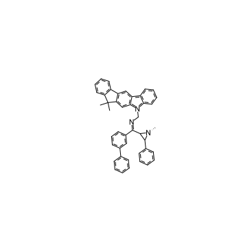 C[N@@]1C(/C(=N\Cn2c3ccccc3c3cc4c(cc32)C(C)(C)c2ccccc2-4)c2cccc(-c3ccccc3)c2)C1c1ccccc1